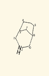 [CH]1NCC2CCC1C2